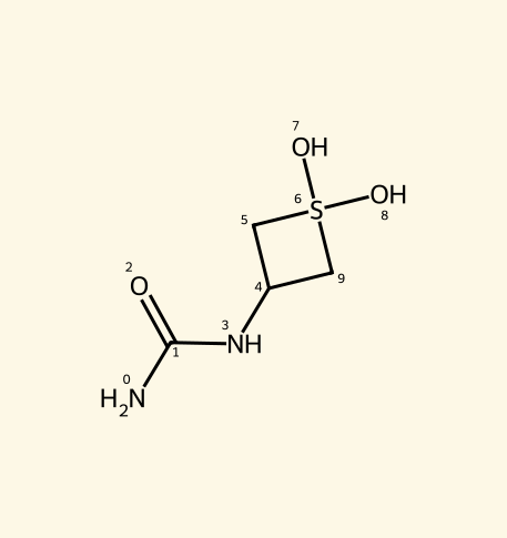 NC(=O)NC1CS(O)(O)C1